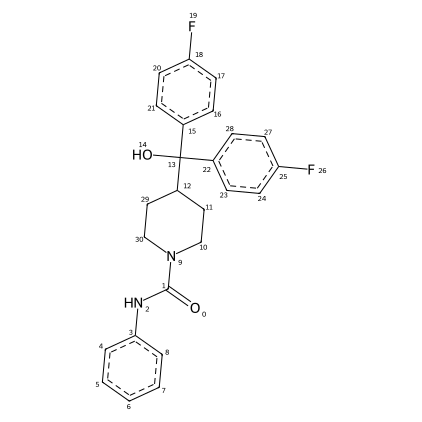 O=C(Nc1ccccc1)N1CCC(C(O)(c2ccc(F)cc2)c2ccc(F)cc2)CC1